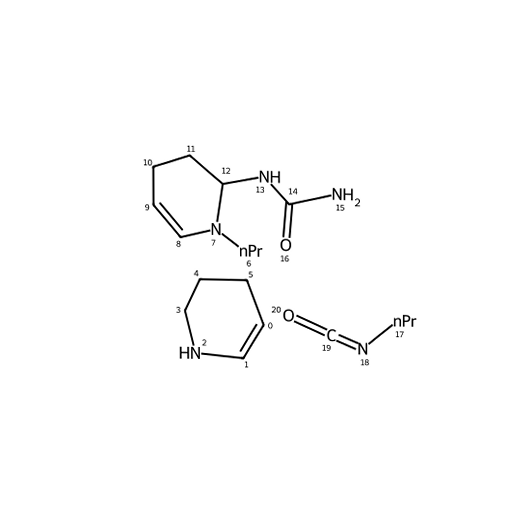 C1=CNCCC1.CCCN1C=CCCC1NC(N)=O.CCCN=C=O